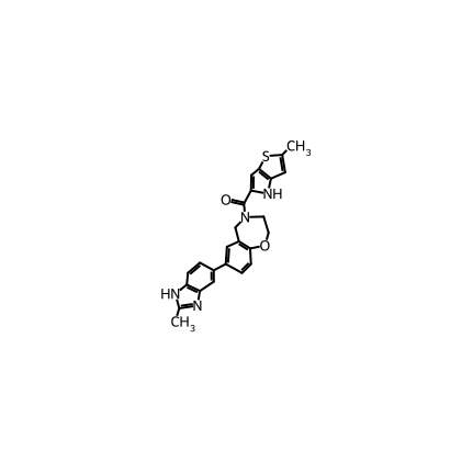 Cc1nc2cc(-c3ccc4c(c3)CN(C(=O)c3cc5sc(C)cc5[nH]3)CCO4)ccc2[nH]1